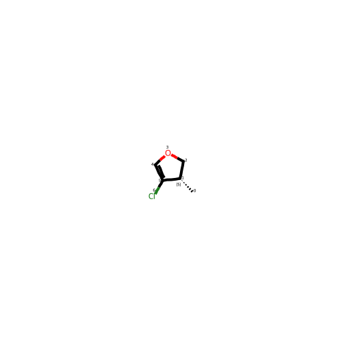 C[C@H]1COC=C1Cl